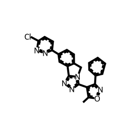 Cc1onc(-c2ccccc2)c1-c1nnc2n1Cc1ccc(-c3ccc(Cl)nn3)cc1-2